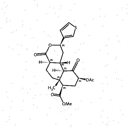 COC(=O)[C@@H]1C[C@H](OC(C)=O)C(=O)[C@@H]2[C@H]3C[C@H](c4ccsc4)OC(=O)[C@@H]3CC[C@]21C